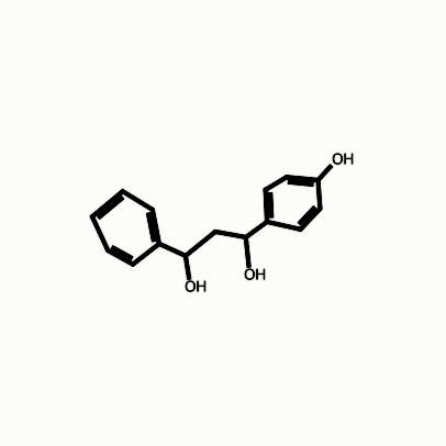 Oc1ccc(C(O)CC(O)c2ccccc2)cc1